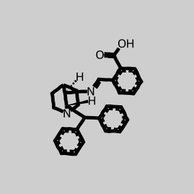 O=C(O)c1ccccc1/C=N/[C@@H]1C2CCN(CC2)[C@H]1C(c1ccccc1)c1ccccc1